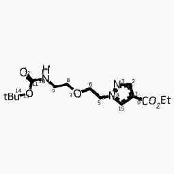 CCOC(=O)c1cnn(CCOCCNC(=O)OC(C)(C)C)c1